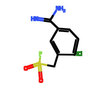 Cl.N=C(N)c1cccc(CS(=O)(=O)F)c1